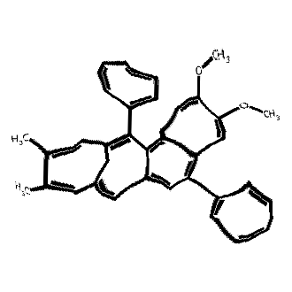 COc1cc2c(-c3ccccc3)cc3cc4cc(C)c(C)cc4c(-c4ccccc4)c3c2cc1OC